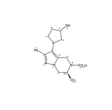 C[C@H]1Cn2nc(S)c(C3CCC(O)C3)c2CN1C(=O)O